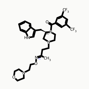 C/C(CCN1CCN(C(=O)c2cc(C(F)(F)F)cc(C(F)(F)F)c2)[C@H](Cc2c[nH]c3ccccc23)C1)=N\OCCN1CCOCC1